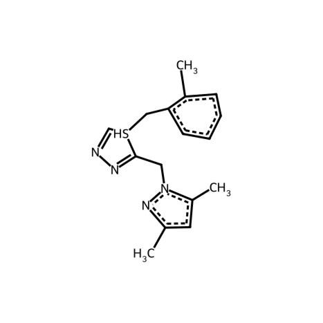 Cc1cc(C)n(CC2=NN=C[SH]2Cc2ccccc2C)n1